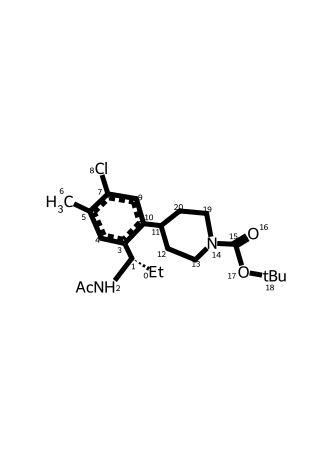 CC[C@H](NC(C)=O)c1cc(C)c(Cl)cc1C1CCN(C(=O)OC(C)(C)C)CC1